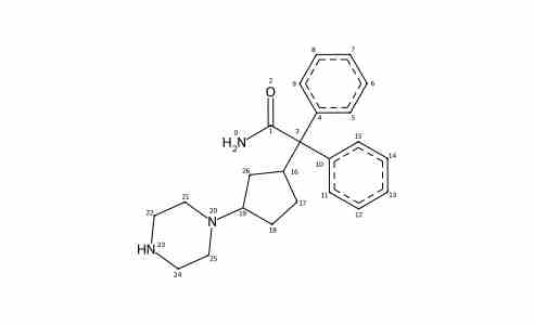 NC(=O)C(c1ccccc1)(c1ccccc1)C1CCC(N2CCNCC2)C1